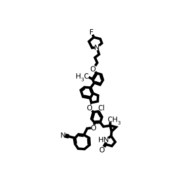 Cc1c(OCCCN2CCC(F)CC2)cccc1-c1cccc2c1CC[C@@H]2Oc1cc(OCC2=C/C(C#N)=C\CC/C=C\2)c(CC2(C)CC2C2CCC(=O)N2)cc1Cl